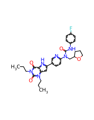 CCCn1c(=O)c2[nH]c(-c3ccc(N(CC4CCCO4)C(=O)Nc4ccc(F)cc4)nc3)cc2n(CCC)c1=O